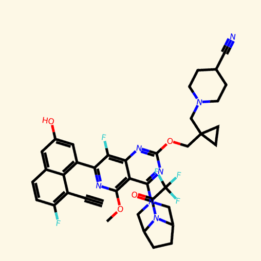 C#Cc1c(F)ccc2cc(O)cc(-c3nc(OC)c4c(N5CC6CCC(C5)N6C(=O)C(F)(F)F)nc(OCC5(CN6CCC(C#N)CC6)CC5)nc4c3F)c12